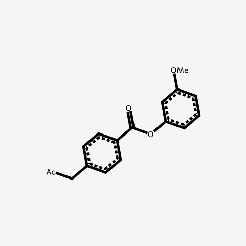 COc1cccc(OC(=O)c2ccc(CC(C)=O)cc2)c1